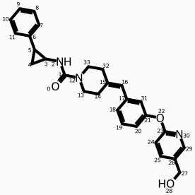 O=C(NC1CC1c1ccccc1)N1CCC(=Cc2cccc(Oc3ccc(CO)cn3)c2)CC1